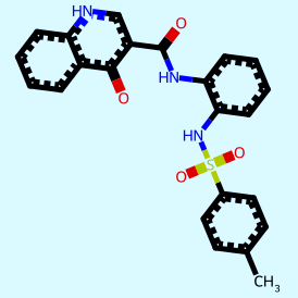 Cc1ccc(S(=O)(=O)Nc2ccccc2NC(=O)c2c[nH]c3ccccc3c2=O)cc1